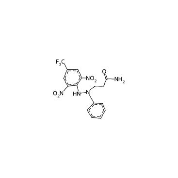 NC(=O)CCN(Nc1c([N+](=O)[O-])cc(C(F)(F)F)cc1[N+](=O)[O-])c1ccccc1